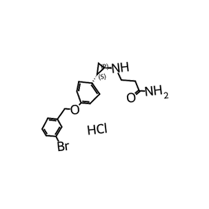 Cl.NC(=O)CCN[C@@H]1C[C@H]1c1ccc(OCc2cccc(Br)c2)cc1